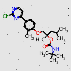 Cc1cc(-c2ccnc(Cl)n2)ccc1OC[C@](C)(CC(C)C)OC(=O)NC(C)(C)C